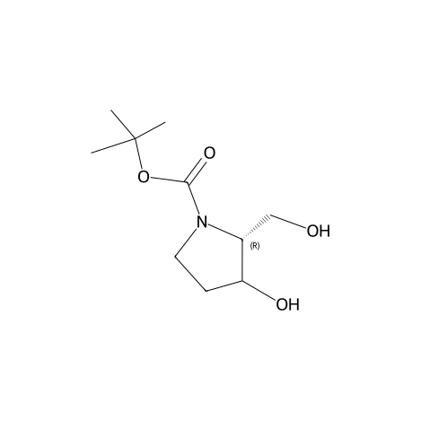 CC(C)(C)OC(=O)N1CCC(O)[C@H]1CO